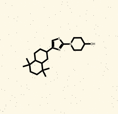 CC1(C)CCC(C)(C)C2CC(c3csc(N4CCC(O)CC4)n3)CCC21